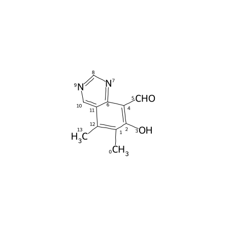 Cc1c(O)c(C=O)c2ncncc2c1C